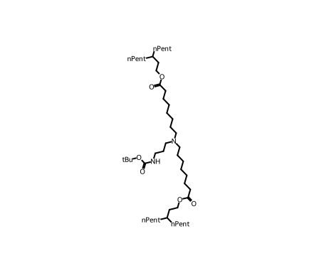 CCCCCC(CCCCC)CCOC(=O)CCCCCCCN(CCCCCCCC(=O)OCCC(CCCCC)CCCCC)CCCNC(=O)OC(C)(C)C